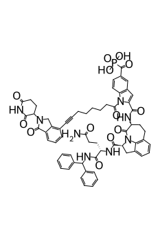 NC(=O)CC[C@H](NC(=O)[C@@H]1Cc2cccc3c2N1C(=O)[C@@H](NC(=O)c1cc2cc(C(=O)P(=O)(O)O)ccc2n1C(=O)CCCCCC#Cc1cccc2c1CN(C1CCC(=O)NC1=O)C2=O)CC3)C(=O)NC(c1ccccc1)c1ccccc1